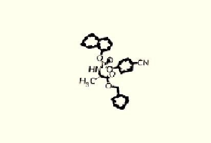 C[C@H](NP(=O)(Oc1ccc(C#N)cc1)Oc1cccc2ccccc12)C(=O)OCc1ccccc1